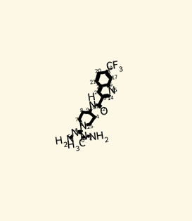 CN(N)/C(=N\N)N1CCC(NC(=O)c2cnc3cc(C(F)(F)F)ccc3c2)CC1